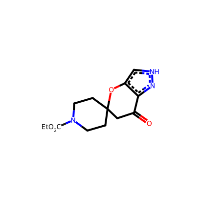 CCOC(=O)N1CCC2(CC1)CC(=O)c1n[nH]cc1O2